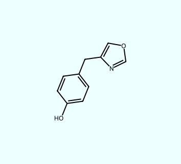 Oc1ccc(Cc2cocn2)cc1